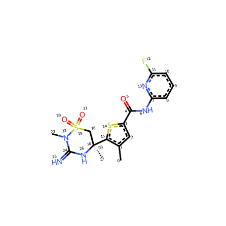 Cc1cc(C(=O)Nc2cccc(F)n2)sc1[C@]1(C)CS(=O)(=O)N(C)C(=N)N1